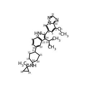 COc1cc(-c2[nH]c3ccc(C4CCC(NC5(C)CC5)CC4)cc3c2C(C)C)cn2ncnc12